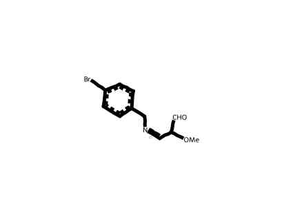 COC(C=O)/C=N\Cc1ccc(Br)cc1